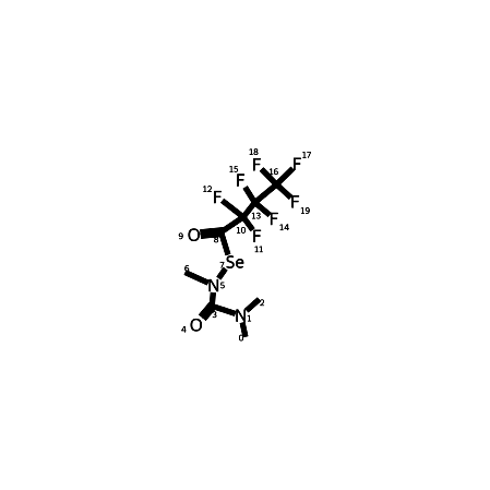 CN(C)C(=O)N(C)[Se]C(=O)C(F)(F)C(F)(F)C(F)(F)F